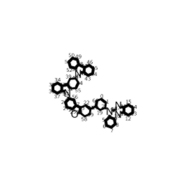 C1=CC(n2c3ccccc3n3c4ccccc4nc23)CC(C2=Cc3c(oc4ccc(-n5c6c(c7ccccc75)CC(n5c7ccccc7c7ccccc75)C=C6)cc34)CC2)=C1